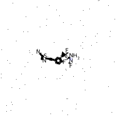 N#Cc1cnc(C#Cc2ccc(F)c([C@@H]3C[C@]3(CF)S/C(N)=N\CF)c2)s1